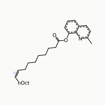 CCCCCCCC/C=C\CCCCCCCC(=O)Oc1cccc2ccc(C)nc12